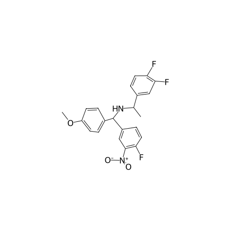 COc1ccc(C(NC(C)c2ccc(F)c(F)c2)c2ccc(F)c([N+](=O)[O-])c2)cc1